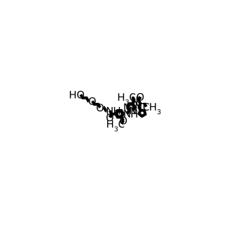 CC[C@@H]1C(=O)N(C)c2cnc(Nc3ccc(C(=O)NCCOCCOCCCO)cc3OC)nc2N1C1CCCC1